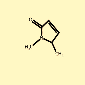 CC1C=CC(=O)N1C